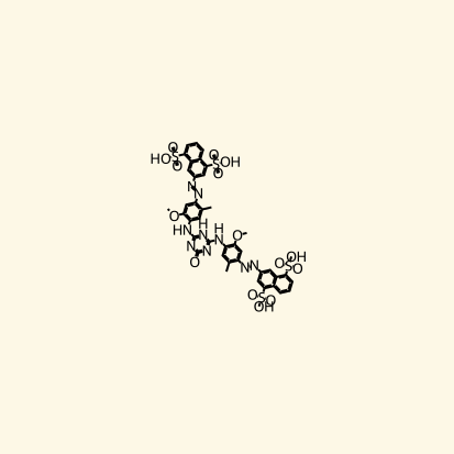 COc1cc(/N=N/c2cc(S(=O)(=O)O)c3cccc(S(=O)(=O)O)c3c2)c(C)cc1Nc1nc(=O)nc(Nc2cc(C)c(/N=N/c3cc(S(=O)(=O)O)c4cccc(S(=O)(=O)O)c4c3)cc2OC)[nH]1